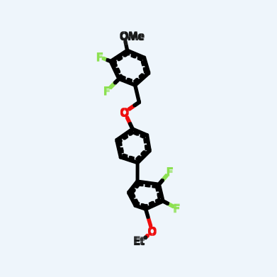 CCOc1ccc(-c2ccc(OCc3ccc(OC)c(F)c3F)cc2)c(F)c1F